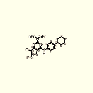 CCCN(CCC)c1nc(Nc2ccc(C3CCCCC3)cc2)c2c(n1)C(=O)N(C(C)C)C2